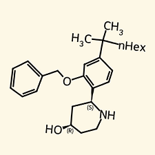 CCCCCCC(C)(C)c1ccc([C@@H]2C[C@H](O)CCN2)c(OCc2ccccc2)c1